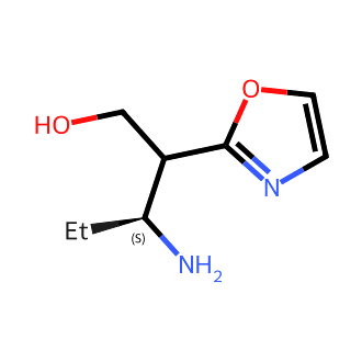 CC[C@H](N)C(CO)c1ncco1